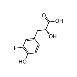 O=C(O)[C@@H](O)Cc1ccc(O)c(I)c1